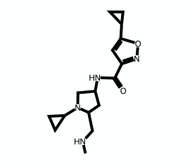 CNCC1CC(NC(=O)c2cc(C3CC3)on2)CN1C1CC1